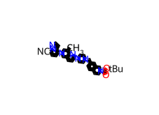 CC1CN(c2ccc(C#N)n3nccc23)Cc2ccc(N3CCN(Cc4ccc5c(c4)CN(C(=O)OC(C)(C)C)CC5)CC3)nc21